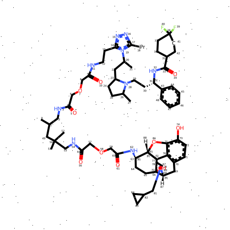 CC(CNC(=O)COCC(=O)NCCc1nnc(C(C)C)n1C(C)CC1CCC(C)N1CC[C@H](NC(=O)C1CCC(F)(F)CC1)c1ccccc1)CC(C)(C)CNC(=O)COCC(=O)N[C@@H]1CC[C@@]2(O)[C@H]3Cc4ccc(O)c5c4[C@@]2(CCN3CC2CC2)[C@H]1O5